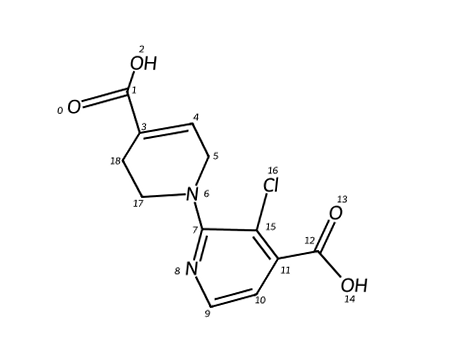 O=C(O)C1=CCN(c2nccc(C(=O)O)c2Cl)CC1